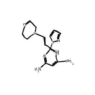 NC1=CC(N)=NC(CCN2CCOCC2)(n2cccn2)N1